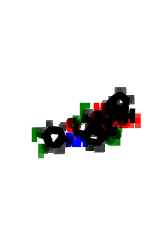 O=C(Nc1ccc(F)c(F)c1)c1ccc(Cl)c(S(=O)(=O)C2CC3CC[C@@H](C2)[C@@]3(O)C(O)c2nc(C(F)F)ccc2F)c1